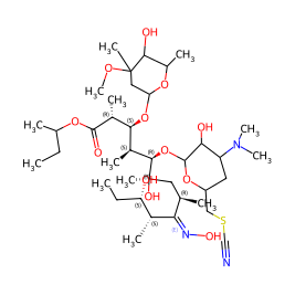 CCC(C)OC(=O)[C@H](C)[C@@H](OC1CC(C)(OC)C(O)C(C)O1)[C@H](C)[C@@H](OC1OC(CSC#N)CC(N(C)C)C1O)[C@](C)(O)C[C@@H](C)/C(=N\O)[C@H](C)[C@@H](O)CC